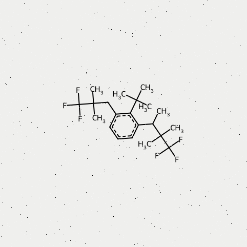 CC(c1cccc(CC(C)(C)C(F)(F)F)c1C(C)(C)C)C(C)(C)C(F)(F)F